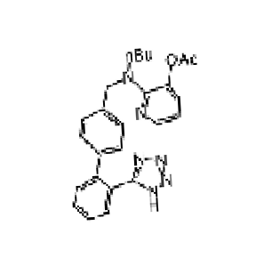 CCCCN(Cc1ccc(-c2ccccc2-c2nnn[nH]2)cc1)c1ncccc1OC(C)=O